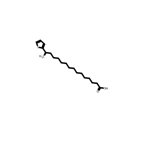 CC(CCCCCCCCCCCCCC(=O)O)c1cccs1